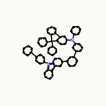 c1ccc(-c2ccc(-n3c4ccccc4c4cc(-c5cccc(-c6cccc(N(c7ccccc7)c7ccc8c(c7)-c7ccccc7C8(c7ccccc7)c7ccccc7)c6)c5)ccc43)cc2)cc1